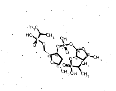 CC(C)P(=O)(O)OC[C@H]1O[C@@H](C)C[C@@H]1OP(=O)(O)O[C@H]1O[C@@H](C)C[C@@H]1OP(=O)(O)C(C)C